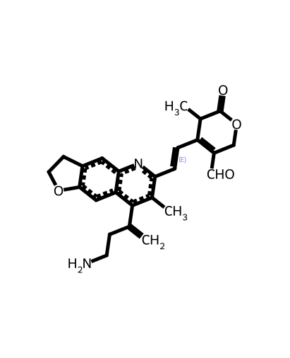 C=C(CCN)c1c(C)c(/C=C/C2=C(C=O)COC(=O)C2C)nc2cc3c(cc12)OCC3